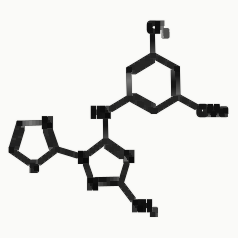 COc1cc(Nc2nc(N)nn2-c2nccs2)cc(C(F)(F)F)c1